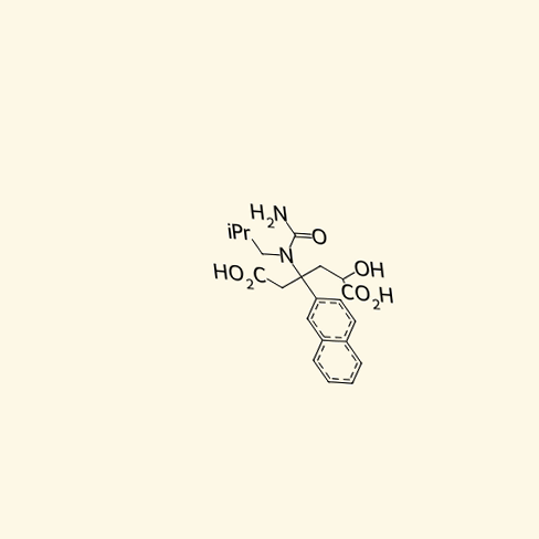 CC(C)CN(C(N)=O)C(CC(=O)O)(CC(O)C(=O)O)c1ccc2ccccc2c1